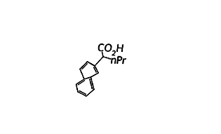 CCCC(C(=O)O)c1ccc2ccccc2c1